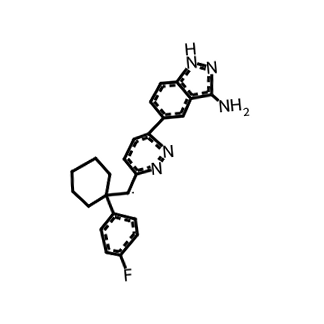 Nc1n[nH]c2ccc(-c3ccc([CH]C4(c5ccc(F)cc5)CCCCC4)nn3)cc12